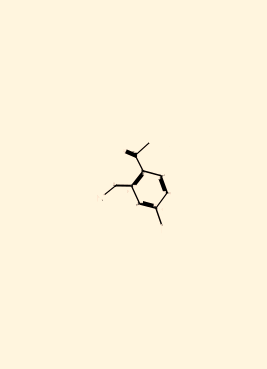 CCOC(=O)C(=O)c1ccc(F)cc1CN